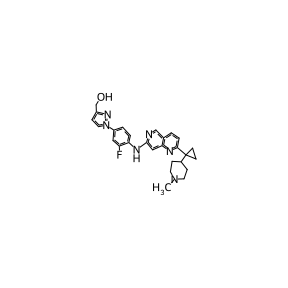 CN1CCC(C2(c3ccc4cnc(Nc5ccc(-n6ccc(CO)n6)cc5F)cc4n3)CC2)CC1